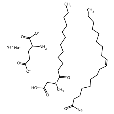 CCCCCCCC/C=C\CCCCCCC[C](=O)[Na].CCCCCCCCCCCC(=O)N(C)CC(=O)O.NC(CCC(=O)[O-])C(=O)[O-].[Na+].[Na+]